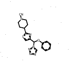 N#CN1CCC(c2nc(C(Oc3ccccc3)n3cnnn3)cs2)CC1